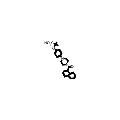 CC(C)(Oc1ccc(N2CCN(C(=O)c3cccc4ccccc34)CC2)cc1)C(=O)O